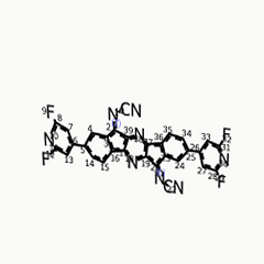 N#C/N=c1/c2cc(-c3cc(F)nc(F)c3)ccc2c2nc3/c(=N/C#N)c4cc(-c5cc(F)nc(F)c5)ccc4c3nc12